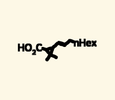 CCCCCCCC=CC1C(C(=O)O)C1(C)C